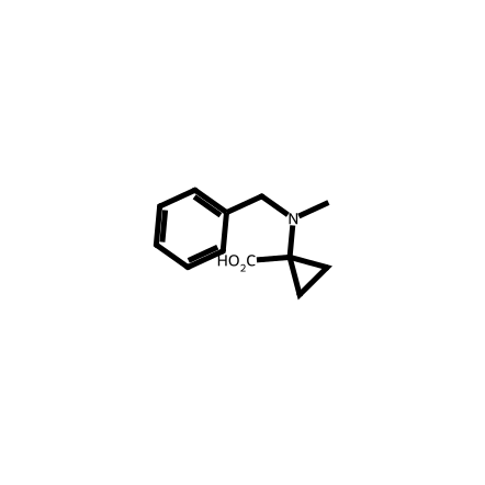 CN(Cc1ccccc1)C1(C(=O)O)CC1